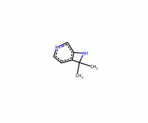 CC1(C)Nc2cnccc21